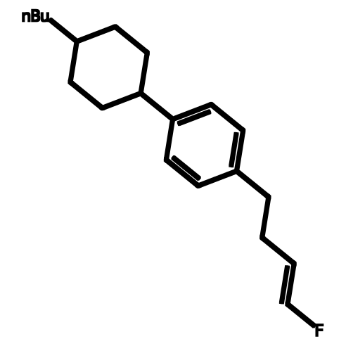 CCCCC1CCC(c2ccc(CC/C=C/F)cc2)CC1